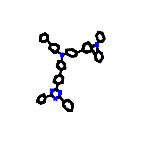 c1ccc(-c2ccc(N(c3ccc(-c4ccc(-c5nc(-c6ccccc6)nc(-c6ccccc6)n5)cc4)cc3)c3ccc(-c4ccc5c(c4)c4ccccc4n5-c4ccccc4)cc3)cc2)cc1